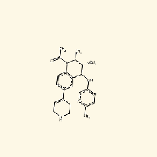 CC(=O)N1c2ccc(C3=CCNCC3)cc2C(Nc2cnc(C)cn2)[C@@H](C)[C@@H]1C